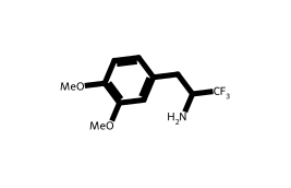 COc1ccc(CC(N)C(F)(F)F)cc1OC